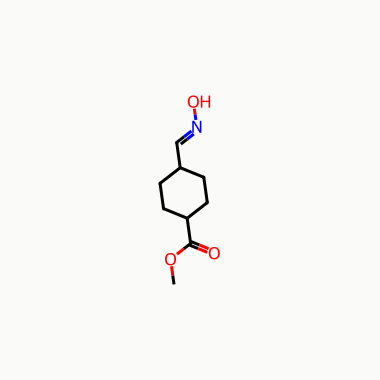 COC(=O)C1CCC(/C=N/O)CC1